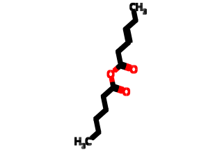 CCC=CCC(=O)OC(=O)CCCCC